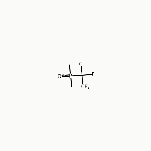 CP(C)(=O)C(F)(F)C(F)(F)F